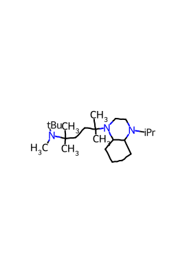 CC(C)N1CCN(C(C)(C)CCC(C)(C)N(C)C(C)(C)C)C2CCCCC21